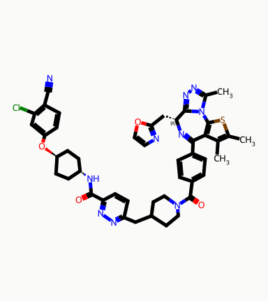 Cc1sc2c(c1C)C(c1ccc(C(=O)N3CCC(Cc4ccc(C(=O)N[C@H]5CC[C@H](Oc6ccc(C#N)c(Cl)c6)CC5)nn4)CC3)cc1)=N[C@H](Cc1ncco1)c1nnc(C)n1-2